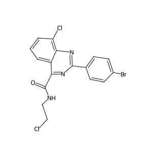 O=C(NCCCl)c1nc(-c2ccc(Br)cc2)nc2c(Cl)cccc12